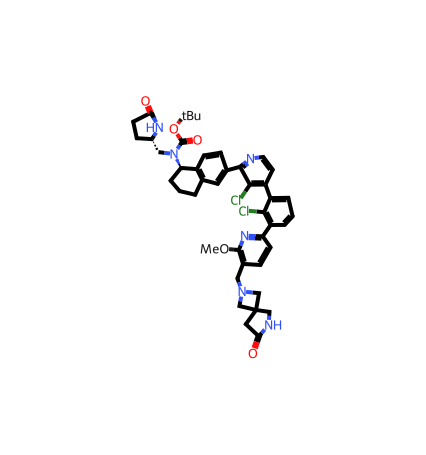 COc1nc(-c2cccc(-c3ccnc(-c4ccc5c(c4)CCC[C@H]5N(C[C@@H]4CCC(=O)N4)C(=O)OC(C)(C)C)c3Cl)c2Cl)ccc1CN1CC2(CNC(=O)C2)C1